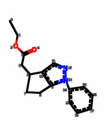 CCOC(=O)CC1CCc2c1cnn2-c1ccccc1